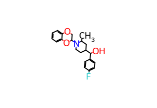 CC1CC(C(O)c2ccc(F)cc2)CCN1C1COc2ccccc2O1